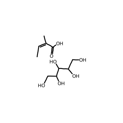 CC=C(C)C(=O)O.OCC(O)C(O)C(O)CO